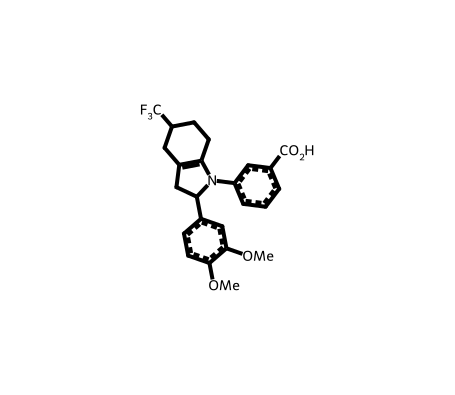 COc1ccc(C2CC3=C(CCC(C(F)(F)F)C3)N2c2cccc(C(=O)O)c2)cc1OC